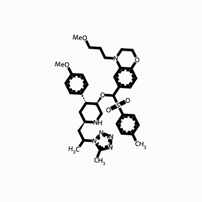 COCCCN1CCOc2ccc(C(O[C@H]3CN[C@@H](CC(C)n4nnnc4C)C[C@@H]3c3ccc(OC)cc3)S(=O)(=O)c3ccc(C)cc3)cc21